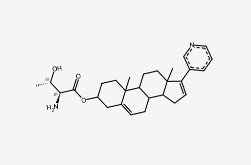 C[C@H](O)[C@H](N)C(=O)OC1CCC2(C)C(=CCC3C2CCC2(C)C(c4cccnc4)=CCC32)C1